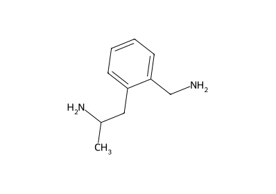 CC(N)Cc1ccccc1CN